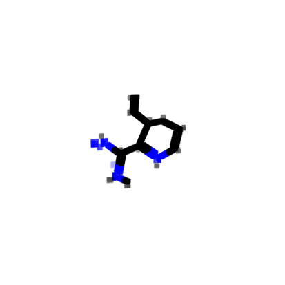 C=CC1CC=CN=C1/C(N)=N\C